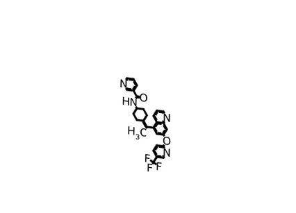 CC(=C1CCC(NC(=O)c2cccnc2)CC1)c1cc(Oc2ccc(C(F)(F)F)cn2)cc2ncccc12